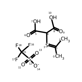 CC(C)=[S+]C(C(=O)O)C(=O)O.O=S(=O)([O-])C(F)(F)F